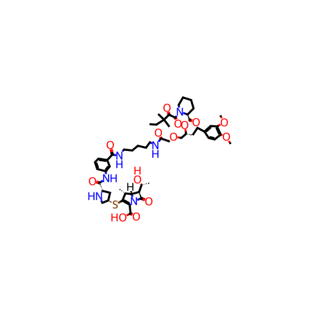 CCC(C)(C)C(=O)C(=O)N1CCCC[C@H]1C(=O)O[C@H](CCc1ccc(OC)c(OC)c1)COCC(=O)NCCCCCNC(=O)c1cccc(NC(=O)[C@@H]2C[C@H](SC3=C(C(=O)O)N4C(=O)[C@H]([C@@H](C)O)[C@H]4[C@H]3C)CN2)c1